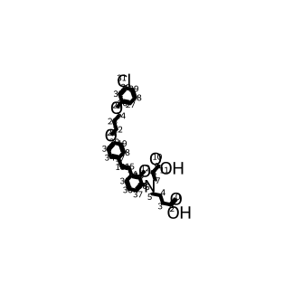 O=C(O)CCCN1CC(C(=O)O)Oc2c(C=Cc3ccc(OCCCOc4cccc(Cl)c4)cc3)cccc21